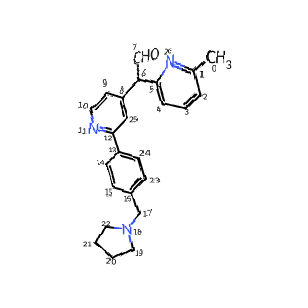 Cc1cccc(C(C=O)c2ccnc(-c3ccc(CN4CCCC4)cc3)c2)n1